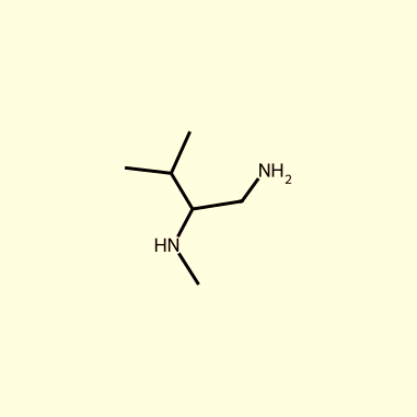 CNC(CN)C(C)C